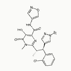 CCn1cc([C@@H](c2ccccc2Cl)[C@H](C)c2nc(C(=O)Nc3cnoc3)c(O)c(=O)n2C)cn1